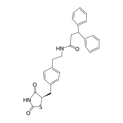 O=C(CC(c1ccccc1)c1ccccc1)NCCc1ccc(C[C@H]2SC(=O)NC2=O)cc1